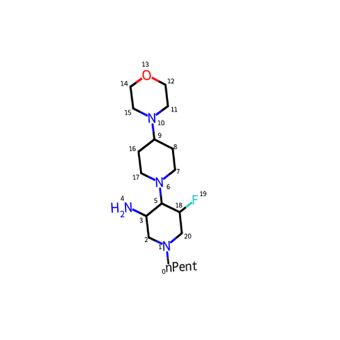 CCCCCN1CC(N)C(N2CCC(N3CCOCC3)CC2)C(F)C1